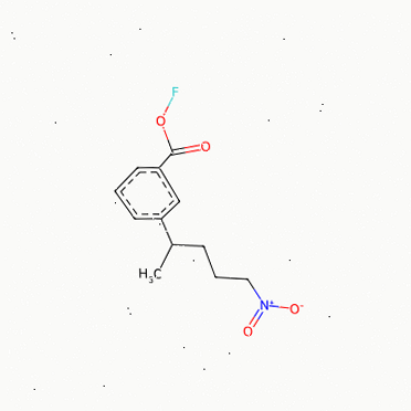 CC(CCC[N+](=O)[O-])c1cccc(C(=O)OF)c1